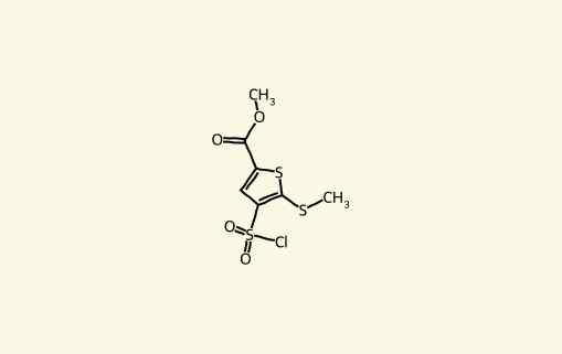 COC(=O)c1cc(S(=O)(=O)Cl)c(SC)s1